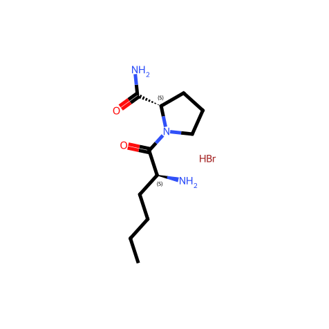 Br.CCCC[C@H](N)C(=O)N1CCC[C@H]1C(N)=O